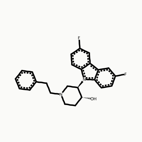 O[C@@H]1CCN(CCc2ccccc2)C[C@H]1n1c2ccc(F)cc2c2cc(F)ccc21